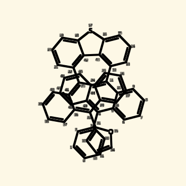 c1ccc(-c2c3ccccc3c(-c3cccc4sc5cccc(-c6c7ccccc7c(-c7ccco7)c7ccccc67)c5c34)c3ccccc23)cc1